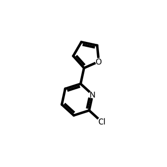 Clc1cccc(-c2ccco2)n1